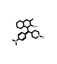 CCN1CCC(C(=C2C=CC(N(C)C)C=C2)C2C(O)C(C)CC3CCCCC32)CC1